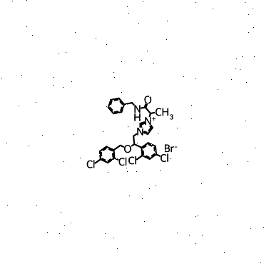 CC(C(=O)NCc1ccccc1)[n+]1ccn(CC(OCc2ccc(Cl)cc2Cl)c2ccc(Cl)cc2Cl)c1.[Br-]